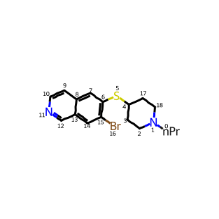 CCCN1CCC(Sc2cc3ccncc3cc2Br)CC1